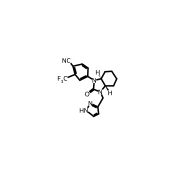 N#Cc1ccc(N2C(=O)N(Cc3cc[nH]n3)[C@H]3CCCC[C@@H]32)cc1C(F)(F)F